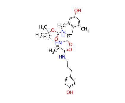 Cc1cc(O)cc(C)c1C[C@H](NC(=O)OC(C)(C)C)C(=O)N[C@H](C)C(=O)NCCCc1ccc(O)cc1